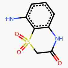 [NH]c1cccc2c1S(=O)(=O)CC(=O)N2